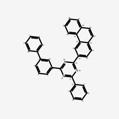 c1ccc(-c2cccc(-c3nc(-c4ccccc4)nc(-c4ccc5ccc6ccccc6c5c4)n3)c2)cc1